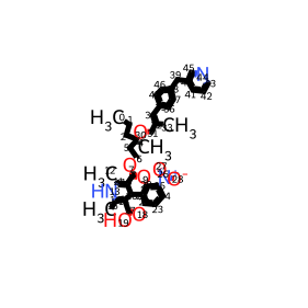 CCCC(C)(CCOC(=O)C1=C(C)NC(C)=C(C(=O)O)C1c1cccc([N+](=O)[O-])c1)OCC(C)=Cc1ccc(Cc2cccnc2)cc1